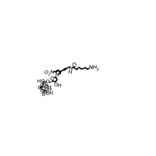 NCCCCCC(=O)NCC#Cc1cc([N+](=O)[O-])n([C@H]2CC(O)[C@@H](COP(=O)(O)OP(=O)(O)OP(=O)(O)O)O2)c1